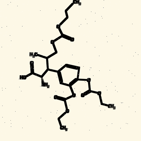 CCCOC(=O)OCC(C)C(c1ccc(OC(=O)OCC)c(OC(=O)OCC)c1)[C@H](N)C(=O)O